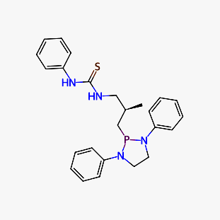 C[C@H](CNC(=S)Nc1ccccc1)CP1N(c2ccccc2)CCN1c1ccccc1